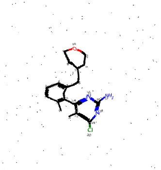 Cc1cccc(CC2CCOCC2)c1-c1nc(N)nc(Cl)c1C